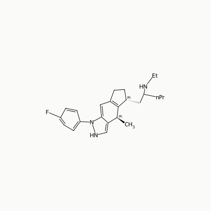 CCCC(C[C@H]1CCC2=C1[C@@H](C)C1=CNN(c3ccc(F)cc3)C1=C2)NCC